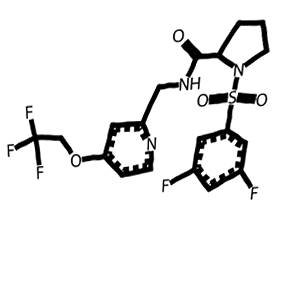 O=C(NCc1cc(OCC(F)(F)F)ccn1)C1CCCN1S(=O)(=O)c1cc(F)cc(F)c1